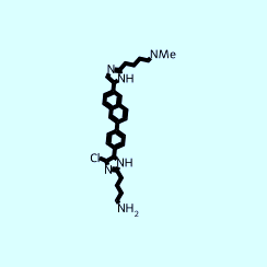 CNCCCCC1=NCC(c2ccc3cc(-c4ccc(C5NC(CCCCN)=NC5Cl)cc4)ccc3c2)N1